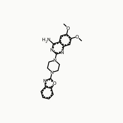 COc1cc2nc(N3CCN(c4nc5ccccc5o4)CC3)nc(N)c2cc1OC